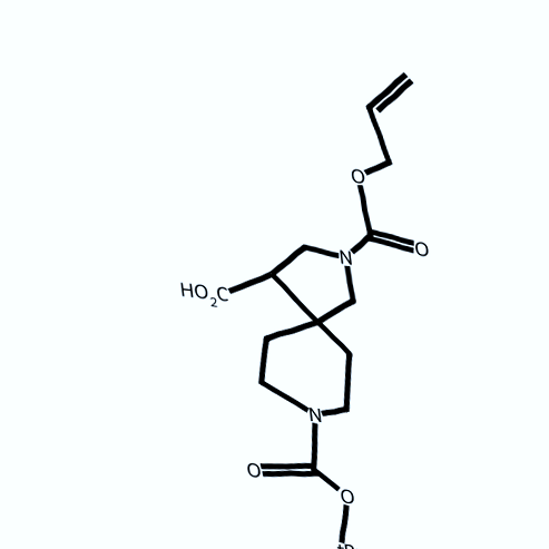 C=CCOC(=O)N1CC(C(=O)O)C2(CCN(C(=O)OC(C)(C)C)CC2)C1